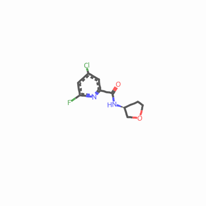 O=C(N[C@H]1CCOC1)c1cc(Cl)cc(F)n1